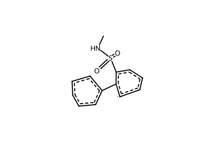 CNS(=O)(=O)c1ccc[c]c1-c1ccccc1